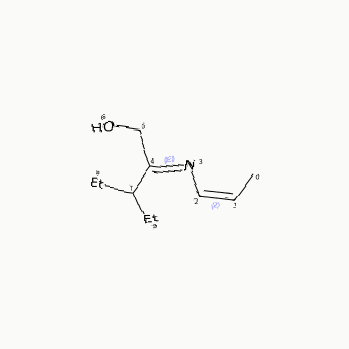 C/C=C\N=C(\CO)C(CC)CC